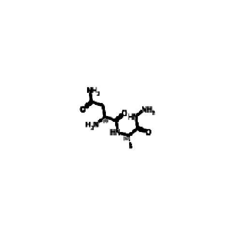 C[C@H](NC(=O)[C@@H](N)CC(N)=O)C(=O)NN